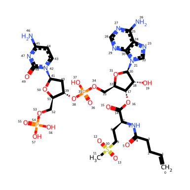 C=CCCC(=O)N[C@@H](CCS(C)(=O)=O)C(=O)O[C@H]1[C@@H](O)[C@H](n2cnc3c(N)ncnc32)O[C@@H]1COP(=O)(O)O[C@H]1C[C@H](n2ccc(N)nc2=O)O[C@@H]1COP(=O)(O)O